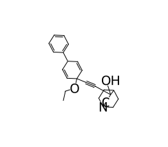 CCOC1(C#CC2(O)CN3CCC2CC3)C=CC(c2ccccc2)C=C1